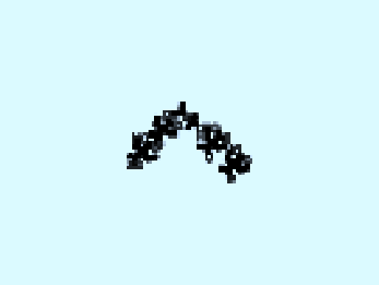 CC(C)O.CC(C)O.CCC(CC)(C(C)=O)C(=O)O.CCC(CC)(C(C)=O)C(=O)O.CCC(CC)(C(C)=O)C(=O)O.CCC(CC)(C(C)=O)C(=O)O.[Zr]